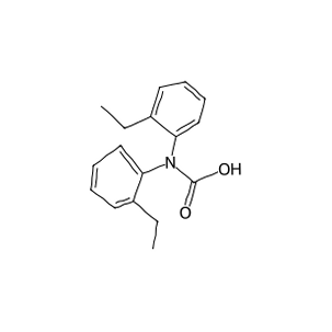 CCc1ccccc1N(C(=O)O)c1ccccc1CC